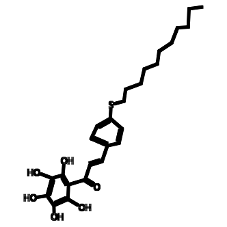 CCCCCCCCCCCSc1ccc(C=CC(=O)c2c(O)c(O)c(O)c(O)c2O)cc1